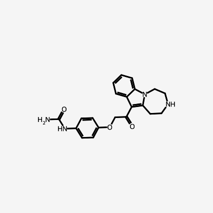 NC(=O)Nc1ccc(OCC(=O)c2c3n(c4ccccc24)CCNCC3)cc1